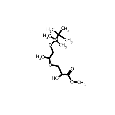 COC(=O)C(O)COC(C)CO[Si](C)(C)C(C)(C)C